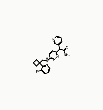 NC(=O)C(c1cccnc1)c1ccc(NCC2(c3ncccc3F)CCC2)nn1